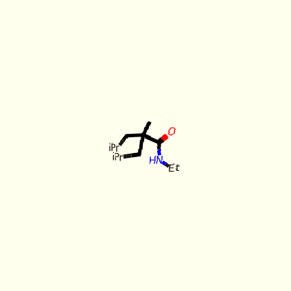 CCNC(=O)C(C)(CC(C)C)CC(C)C